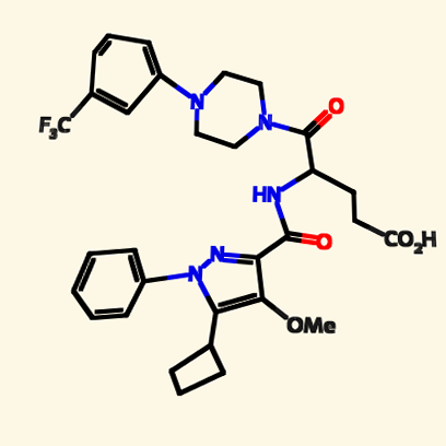 COc1c(C(=O)NC(CCC(=O)O)C(=O)N2CCN(c3cccc(C(F)(F)F)c3)CC2)nn(-c2ccccc2)c1C1CCC1